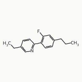 CCCc1ccc(-c2ccc(CC)cn2)c(F)c1